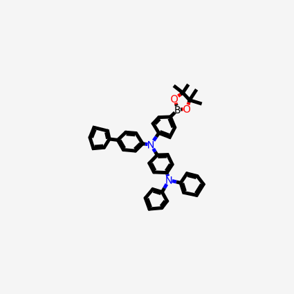 CC1(C)OB(c2ccc(N(c3ccc(-c4ccccc4)cc3)c3ccc(N(c4ccccc4)c4ccccc4)cc3)cc2)OC1(C)C